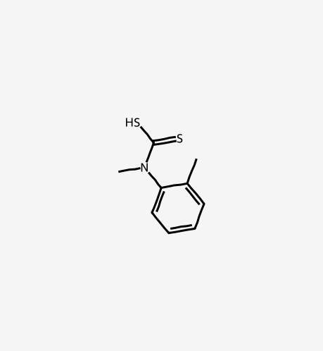 Cc1ccccc1N(C)C(=S)S